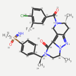 C[C@@H]1Cc2nn3c(c2CN1C(=O)c1ccc(Cl)c(C(F)(F)F)c1)C(=O)N([C@@H](C)c1ccc([S@](C)(=N)=O)cc1)C[C@H]3C